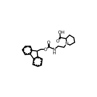 O=C(NCCN1CCCCC1C(=O)O)OCC1c2ccccc2-c2ccccc21